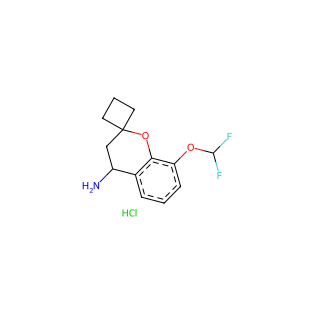 Cl.NC1CC2(CCC2)Oc2c(OC(F)F)cccc21